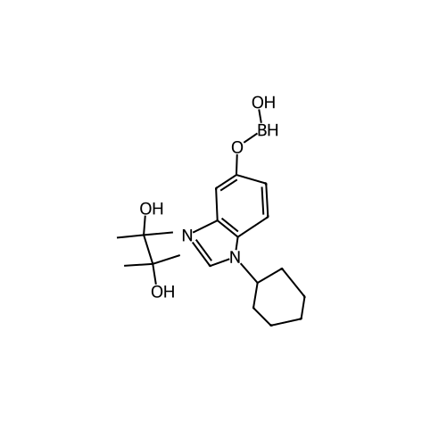 CC(C)(O)C(C)(C)O.OBOc1ccc2c(c1)ncn2C1CCCCC1